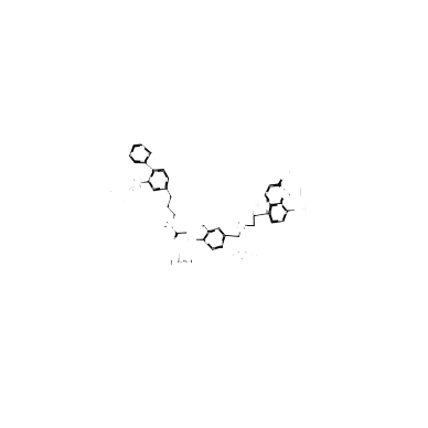 COc1cc(OCC(=O)N(C)CCCc2ccc(-c3ccccc3)c(NC(=O)O)c2)c(Cl)cc1CNC[C@@H](O)c1ccc(O)c2[nH]c(=O)ccc12.Cl.Cl